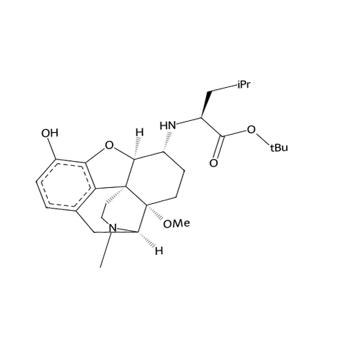 CO[C@@]12CC[C@@H](N[C@@H](CC(C)C)C(=O)OC(C)(C)C)[C@@H]3Oc4c(O)ccc5c4[C@@]31CCN(C)[C@@H]2C5